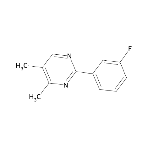 Cc1cnc(-c2cccc(F)c2)nc1C